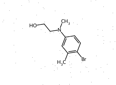 Cc1cc(N(C)CCO)ccc1Br